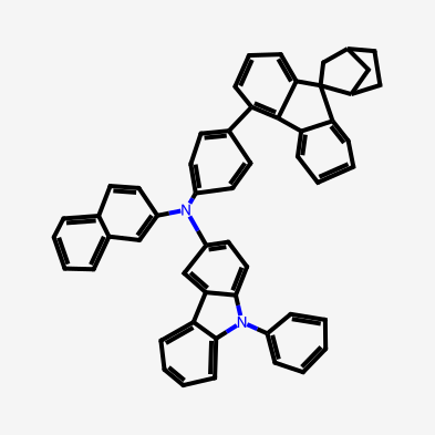 c1ccc(-n2c3ccccc3c3cc(N(c4ccc(-c5cccc6c5-c5ccccc5C65CC6CCC5C6)cc4)c4ccc5ccccc5c4)ccc32)cc1